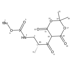 C[C@H](CNC(=O)OC(C)(C)C)C(=O)C1C(=O)OC(C)(C)OC1=O